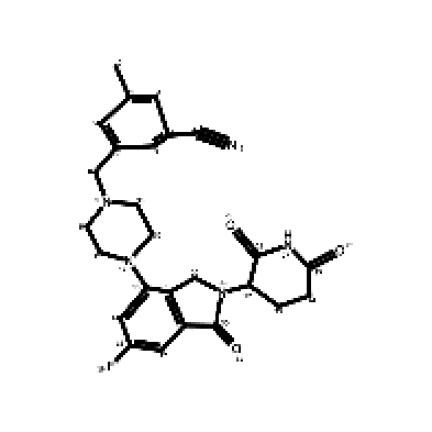 Cc1cc(C#N)cc(CN2CCN(c3cc(F)cc4c3CN(C3CCC(=O)NC3=O)C4=O)CC2)c1